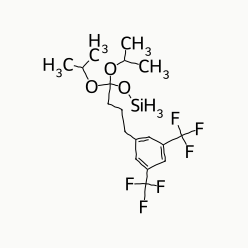 CC(C)OC(CCCc1cc(C(F)(F)F)cc(C(F)(F)F)c1)(O[SiH3])OC(C)C